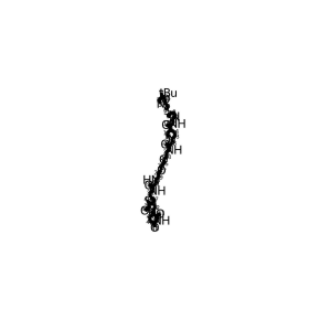 CC(C)(C)c1cnc(CSc2cnc(NC(=O)C3CCN(CC(=O)NCCOCCOCCNCC(=O)NCc4cc5c(s4)C(=O)N(C4CCC(=O)NC4=O)C5)CC3)s2)o1